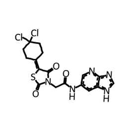 O=C(CN1C(=O)SC(=C2CCC(Cl)(Cl)CC2)C1=O)Nc1cnc2nc[nH]c2c1